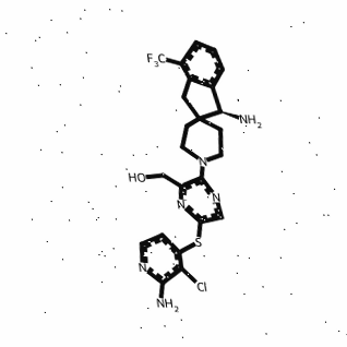 Nc1nccc(Sc2cnc(N3CCC4(CC3)Cc3c(cccc3C(F)(F)F)[C@H]4N)c(CO)n2)c1Cl